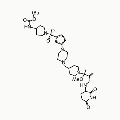 C=C(CNC1CCC(=O)NC1=O)C(C)(OC)N1CCC(CN2CCN(c3cccc(S(=O)(=O)N4CCC(NC(=O)OC(C)(C)C)CC4)c3)CC2)CC1